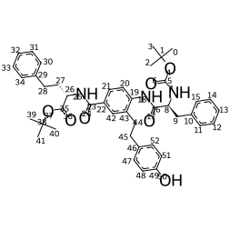 CC(C)(C)OC(=O)N[C@@H](Cc1ccccc1)C(=O)Nc1ccc(C(=O)N[C@@H](CCc2ccccc2)C(=O)OC(C)(C)C)cc1CCc1ccc(O)cc1